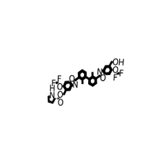 Cc1c(-c2nc3cc(CO)c(OC(F)F)cc3o2)cccc1-c1cccc(-c2nc3cc(COC(=O)[C@@H]4CCCN4)c(OC(F)F)cc3o2)c1C